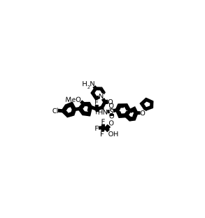 COc1cc(C(F)(F)[C@H](NS(=O)(=O)c2ccc3cc(OC4CCCC4)ccc3c2)C(=O)N2CCC(N)CC2)ccc1-c1ccc(Cl)cc1.O=C(O)C(F)(F)F